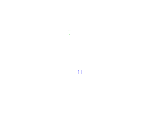 ClC1CCn2cccc21